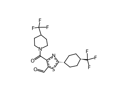 O=Cc1sc([C@H]2CC[C@H](C(F)(F)F)CC2)nc1C(=O)N1CCC(C(F)(F)F)CC1